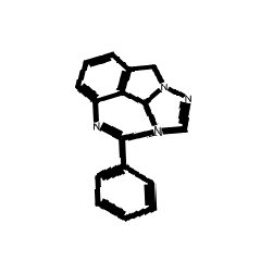 C1=NN2Cc3cccc4c3C2N1C(c1ccccc1)=N4